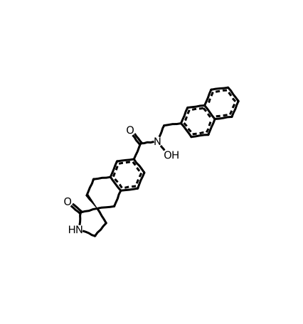 O=C(c1ccc2c(c1)CC[C@]1(CCNC1=O)C2)N(O)Cc1ccc2ccccc2c1